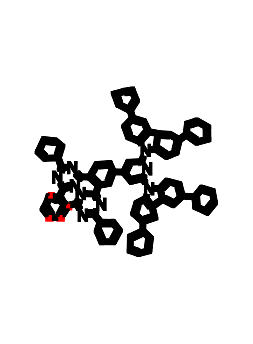 c1ccc(-c2ccc3c(c2)c2cc(-c4ccccc4)ccc2n3-c2cc(-c3ccc(-c4nc(-c5ccccc5)nc(-c5ccccc5)n4)c(-c4nc(-c5ccccc5)nc(-c5ccccc5)n4)c3)cc(-n3c4ccc(-c5ccccc5)cc4c4cc(-c5ccccc5)ccc43)n2)cc1